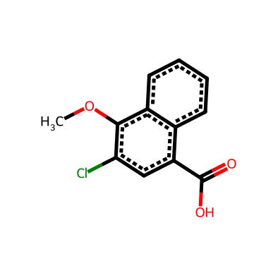 COc1c(Cl)cc(C(=O)O)c2ccccc12